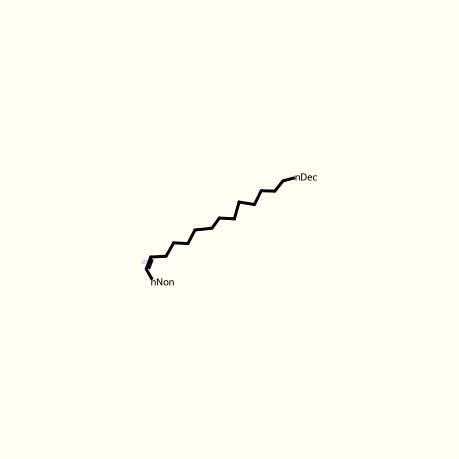 CCCCCCCCC/C=C\CCCCCCCCCCCCCCCCCCCCCC